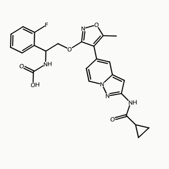 Cc1onc(OCC(NC(=O)O)c2ccccc2F)c1-c1ccn2nc(NC(=O)C3CC3)cc2c1